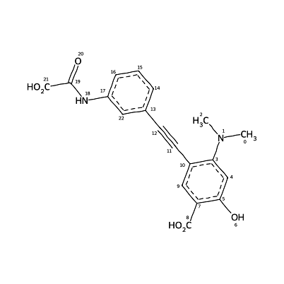 CN(C)c1cc(O)c(C(=O)O)cc1C#Cc1cccc(NC(=O)C(=O)O)c1